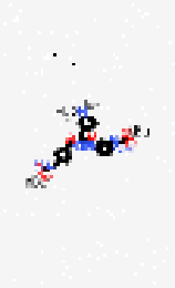 CCCCOC(=O)NCC1CCC(C(=O)NC(Cc2cccc(N(C)C(C)=O)c2)C(=O)Nc2ccc3[nH]c(C(=O)OC(C)(C)C)nc3c2)CC1